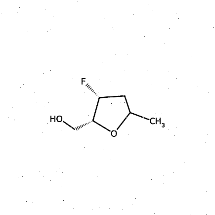 CC1C[C@@H](F)[C@@H](CO)O1